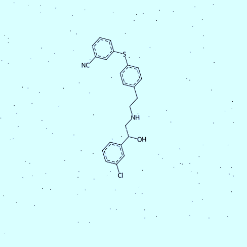 N#Cc1cccc(Sc2ccc(CCNCC(O)c3cccc(Cl)c3)cc2)c1